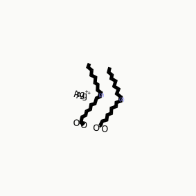 CCCCCCCC/C=C\CCCCCCCC(=O)[O-].CCCCCCCC/C=C\CCCCCCCC(=O)[O-].[Ag+].[Ag+]